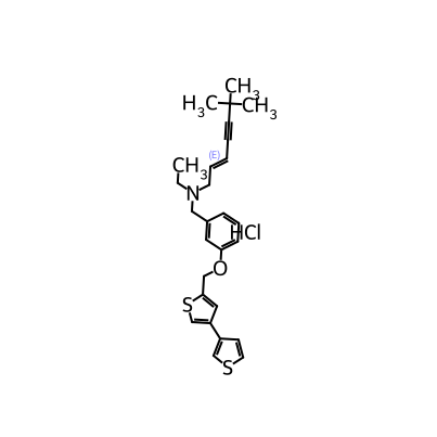 CCN(C/C=C/C#CC(C)(C)C)Cc1cccc(OCc2cc(-c3ccsc3)cs2)c1.Cl